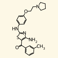 Cc1cccc(C(=O)c2sc(Nc3ccc(OCCN4CCCC4)cc3)nc2N)c1